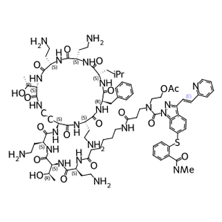 CNC(=O)c1ccccc1Sc1ccc2c(/C=C/c3ccccn3)nn(C(=O)N(CCOC(C)=O)CCC(=O)NCCCCCC(=O)N[C@@H](CCN)C(=O)N[C@H](C(=O)N[C@@H](CCN)C(=O)N[C@H]3CCNC(=O)[C@H]([C@@H](C)O)NC(=O)[C@H](CCN)NC(=O)[C@H](CCN)NC(=O)[C@H](CC(C)C)NC(=O)[C@@H](Cc4ccccc4)NC(=O)[C@H](CCN)NC3=O)[C@@H](C)O)c2c1